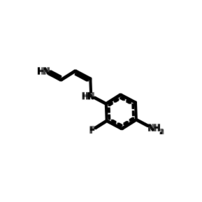 N=C/C=C\Nc1ccc(N)cc1F